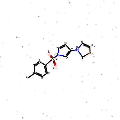 Cc1ccc(S(=O)(=O)n2ccc(N3C=CSC3)c2)cc1